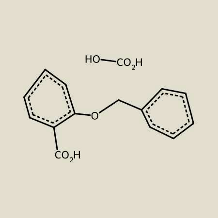 O=C(O)O.O=C(O)c1ccccc1OCc1ccccc1